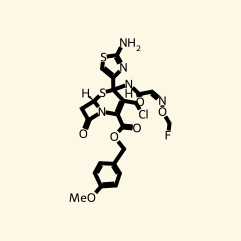 COc1ccc(COC(=O)C2=C(CCl)C(NC(=O)/C=N\OCF)(c3csc(N)n3)S[C@@H]3CC(=O)N23)cc1